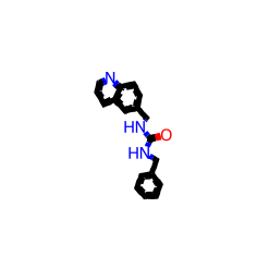 O=C(NCc1ccccc1)NCc1ccc2ncccc2c1